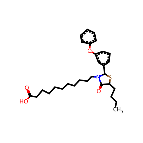 CCCCC1SC(c2cccc(Oc3ccccc3)c2)N(CCCCCCCCCCC(=O)O)C1=O